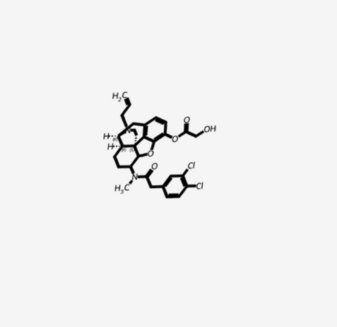 C=CCN1CC[C@]23c4c5ccc(OC(=O)CO)c4OC2C(N(C)C(=O)Cc2ccc(Cl)c(Cl)c2)CC[C@H]3[C@H]1C5